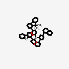 CC1(C)c2ccccc2-c2cccc(-c3ccc(N(c4cc(-c5cccc6ccccc56)ccc4-c4ccccc4)c4ccccc4-c4cccc5c4oc4ccccc45)cc3)c21